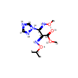 CON=C(C(=NOC(C)C)C(=O)OC)n1cncn1